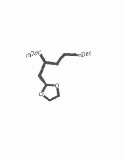 CCCCCCCCCCCCC(CCCCCCCCCC)CC1OCCO1